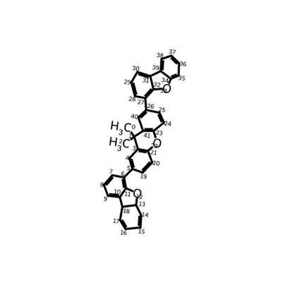 CC1(C)c2cc(-c3cccc4c3OC3C=CC=CC43)ccc2Oc2ccc(-c3cccc4c3oc3ccccc34)cc21